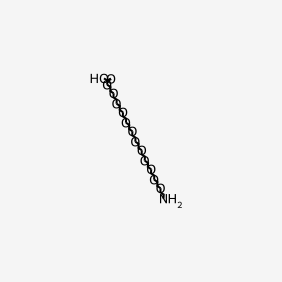 NCCOCCOCCOCCOCCOCCOCCOCCOCCOCCOCCOCCOC(=O)O